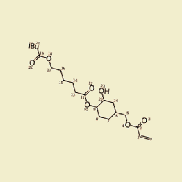 C=CC(=O)OCC1CCC(OC(=O)CCCCCOC(=O)C(C)CC)C(O)C1